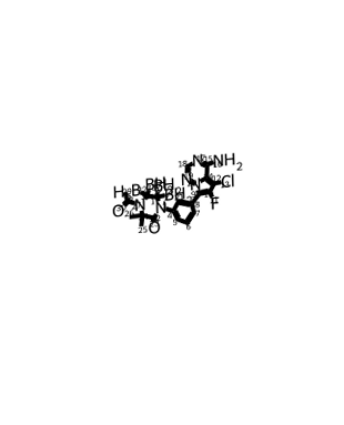 BC1(B)N(c2cccc(-c3c(F)c(Cl)c4c(N)ncnn34)c2)C(=O)C(C)(C)N(C(C)=O)C1(B)B